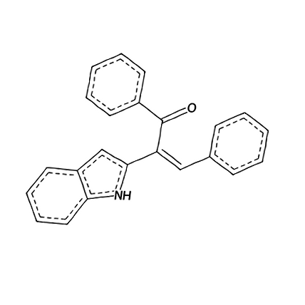 O=C(C(=Cc1ccccc1)c1cc2ccccc2[nH]1)c1ccccc1